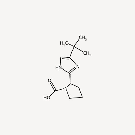 CC(C)(C)c1c[nH]c([C@@H]2CCCN2C(=O)O)n1